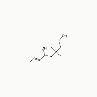 C[C]=CC(O)CC(C)(C)CCO